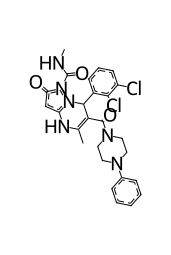 CNC(=O)n1c(=O)cc2n1C(c1cccc(Cl)c1Cl)C(C(=O)N1CCN(c3ccccc3)CC1)=C(C)N2